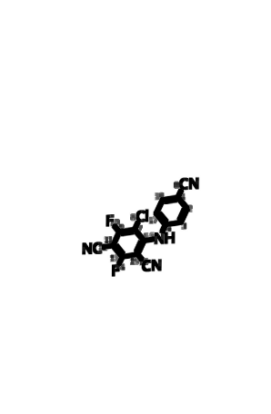 N#Cc1ccc(Nc2c(Cl)c(F)c(C#N)c(F)c2C#N)cc1